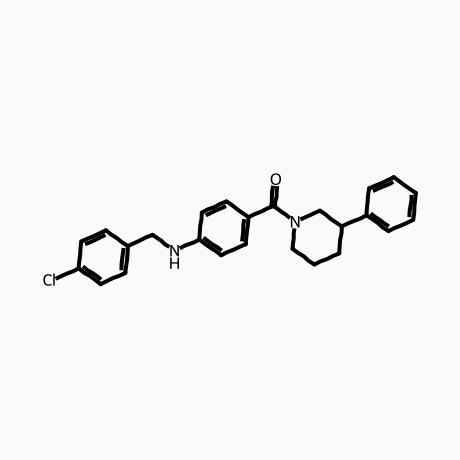 O=C(c1ccc(NCc2ccc(Cl)cc2)cc1)N1CCCC(c2ccccc2)C1